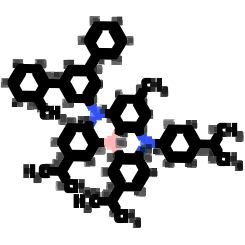 Cc1cc2c3c(c1)N(c1cc(-c4ccccc4)cc(-c4ccccc4C)c1)c1ccc(C(C)C)cc1B3c1cc(C(C)C)ccc1N2c1ccc(C(C)C)cc1